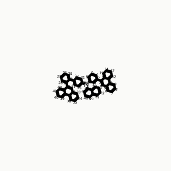 c1cc(-c2cc3ccccc3c3ccccc23)cc(N(c2ccc(-c3ccccc3-c3cc4ccccc4c4ccccc34)cc2)c2cccc3ccccc23)c1